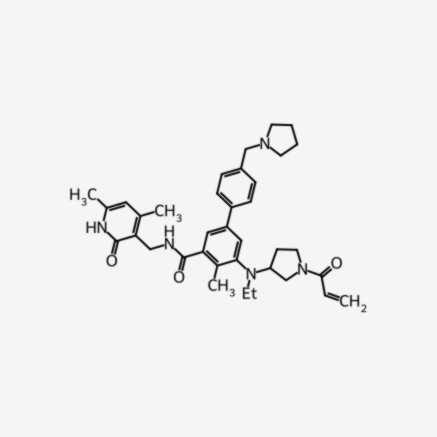 C=CC(=O)N1CCC(N(CC)c2cc(-c3ccc(CN4CCCC4)cc3)cc(C(=O)NCc3c(C)cc(C)[nH]c3=O)c2C)C1